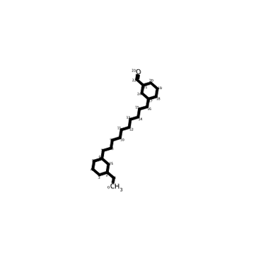 CCC1CCCC(CCCCCCCCCCC2CCCC(C=O)C2)C1